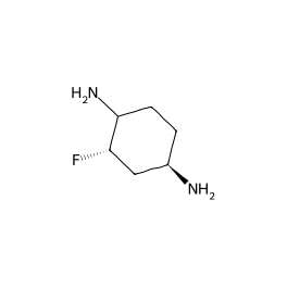 NC1CC[C@@H](N)C[C@@H]1F